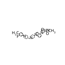 CNC(=O)CCN(C=O)c1cccc2c1ccn2C1CCN(CC2CCN(c3ccc(C)c(F)c3)CC2)CC1